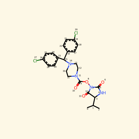 CC(C)C1NC(=O)N(OC(=O)N2CCN(C(c3ccc(Cl)cc3)c3ccc(Cl)cc3)CC2)C1=O